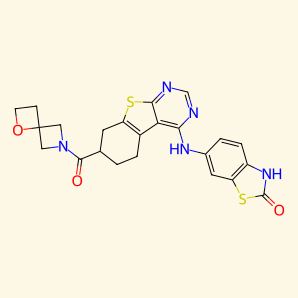 O=C(C1CCc2c(sc3ncnc(Nc4ccc5[nH]c(=O)sc5c4)c23)C1)N1CC2(CCO2)C1